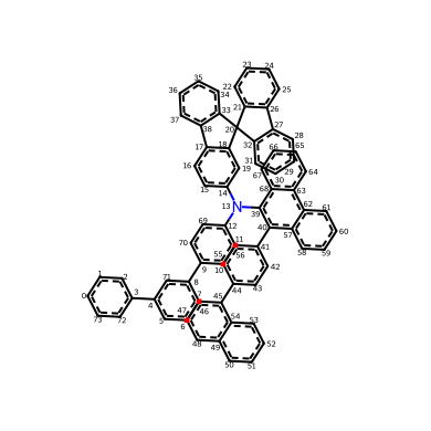 c1ccc(-c2cccc(-c3ccc(N(c4ccc5c(c4)C4(c6ccccc6-c6ccccc64)c4ccccc4-5)c4c(-c5ccc(-c6cccc7ccccc67)cc5)c5ccccc5c5ccccc45)cc3)c2)cc1